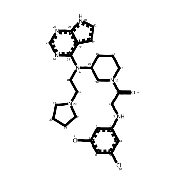 O=C(CNc1cc(Cl)cc(Cl)c1)N1CCCC(N(CCN2CCCC2)c2ncnc3[nH]ccc23)C1